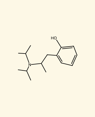 CC(C)N(C(C)C)C(C)Cc1ccccc1O